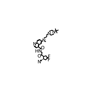 CN(CCCN1CCN(C(C)(C)C)CC1)c1ccc2nccc(C(=O)NCC(=O)C3CC(F)(F)C[C@H]3C#N)c2c1